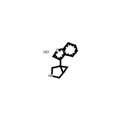 Cl.c1ccc2c(C34CNCC3C4)coc2c1